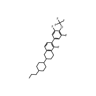 CCCC1CCC(C2CCc3c(ccc(-c4cc(F)c(OC(F)(F)F)c(F)c4)c3F)C2)CC1